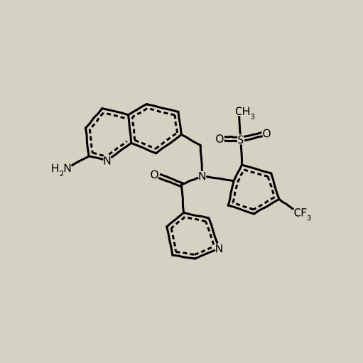 CS(=O)(=O)c1cc(C(F)(F)F)ccc1N(Cc1ccc2ccc(N)nc2c1)C(=O)c1cccnc1